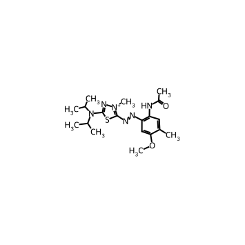 COc1cc(N=Nc2sc(N(C(C)C)C(C)C)n[n+]2C)c(NC(C)=O)cc1C